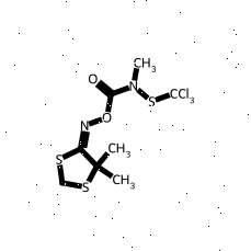 CN(SC(Cl)(Cl)Cl)C(=O)ON=C1SCSC1(C)C